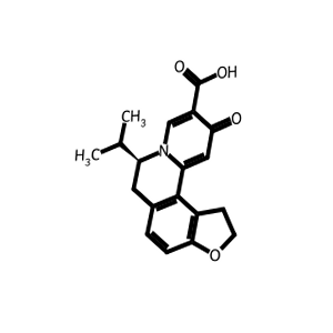 CC(C)[C@@H]1Cc2ccc3c(c2-c2cc(=O)c(C(=O)O)cn21)CCO3